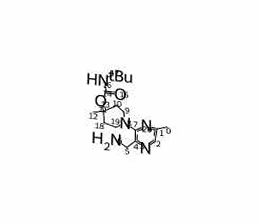 Cc1cnc(CN)c(N2CCC(C)(OC(=O)NC(C)(C)C)CC2)n1